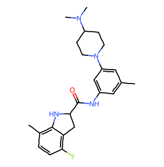 Cc1cc(NC(=O)C2Cc3c(F)ccc(C)c3N2)cc(N2CCC(N(C)C)CC2)c1